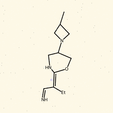 CC/C(C=N)=C1/NCC(N2CC(C)C2)CO1